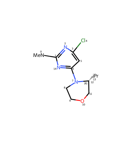 CNc1nc(Cl)cc(N2CCOC[C@H]2C(C)C)n1